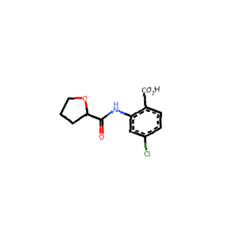 O=C(O)c1ccc(Cl)cc1NC(=O)C1CCCO1